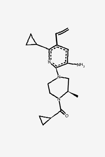 C=Cc1cc(N)c(N2CCN(C(=O)C3CC3)[C@H](C)C2)nc1C1CC1